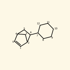 C1=CC2C[C]1CC2C1CCCCC1